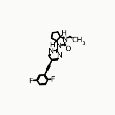 CCN1C(=O)N(c2ncc(C#Cc3cc(F)ccc3F)cn2)[C@@H]2CCC[C@@H]21